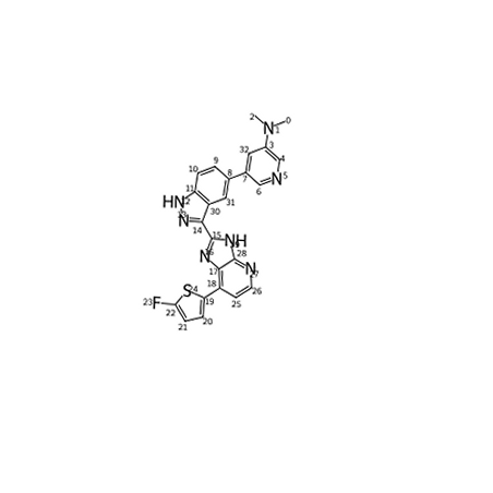 CN(C)c1cncc(-c2ccc3[nH]nc(-c4nc5c(-c6ccc(F)s6)ccnc5[nH]4)c3c2)c1